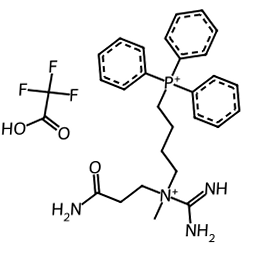 C[N+](CCCC[P+](c1ccccc1)(c1ccccc1)c1ccccc1)(CCC(N)=O)C(=N)N.O=C(O)C(F)(F)F